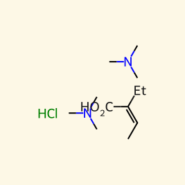 CC=C(CC)C(=O)O.CN(C)C.CN(C)C.Cl